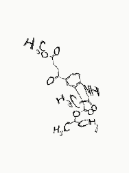 COC(=O)CCC(=O)c1ccc2c(c1)C(C)(C(=O)OC(C)C)C(=O)N2